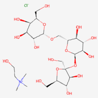 C[N+](C)(C)CCO.OC[C@H]1O[C@H](OC[C@H]2O[C@H](O[C@]3(CO)O[C@H](CO)[C@@H](O)[C@@H]3O)[C@H](O)[C@@H](O)[C@@H]2O)[C@H](O)[C@@H](O)[C@H]1O.[Cl-]